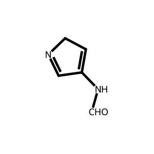 O=CNC1=CCN=C1